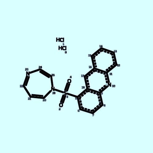 Cl.Cl.O=S(=O)(c1cccc2nc3ccccc3cc12)N1C=CC=NC=C1